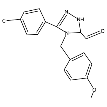 COc1ccc(CN2C(c3ccc(Cl)cc3)=NNC2C=O)cc1